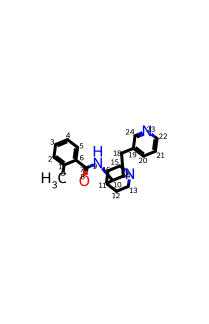 Cc1ccccc1C(=O)NC1C2CCN(CC2)C1Cc1cccnc1